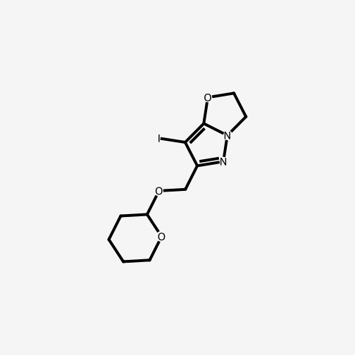 Ic1c(COC2CCCCO2)nn2c1OCC2